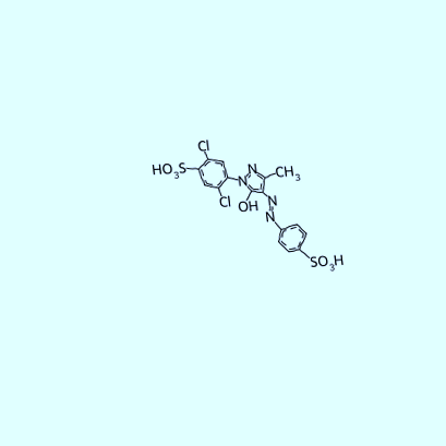 Cc1nn(-c2cc(Cl)c(S(=O)(=O)O)cc2Cl)c(O)c1N=Nc1ccc(S(=O)(=O)O)cc1